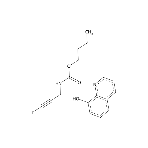 CCCCOC(=O)NCC#CI.Oc1cccc2cccnc12